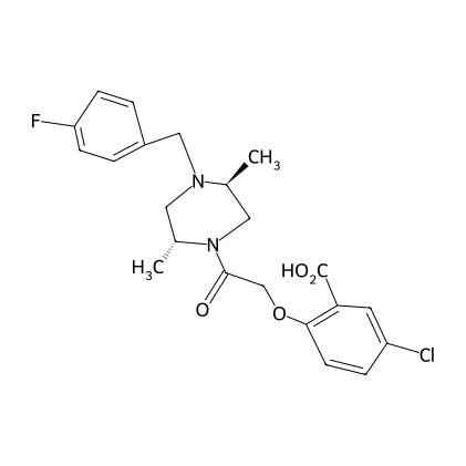 C[C@@H]1CN(Cc2ccc(F)cc2)[C@@H](C)CN1C(=O)COc1ccc(Cl)cc1C(=O)O